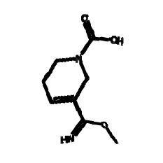 COC(=N)C1=CCCN(C(=O)O)C1